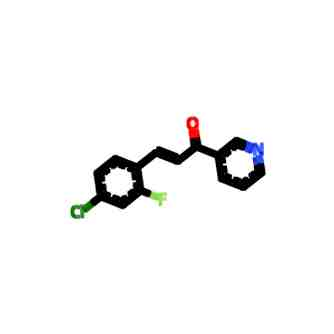 O=C(C=Cc1ccc(Cl)cc1F)c1cccnc1